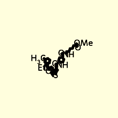 CCN(C(=O)Cn1c(C(=O)N[C@H]2CC[C@H](C(=O)NCCCCCC(=O)OC)CC2)cc2sccc21)C1=CCCC(C)=C1